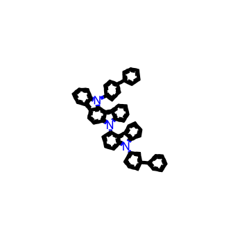 c1ccc(-c2ccc(-n3c4ccccc4c4ccc5c(c6ccccc6n5-c5cccc6c5c5ccccc5n6-c5cccc(-c6ccccc6)c5)c43)cc2)cc1